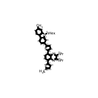 CCCCCCn1c2cc(C)ccc2c2ccc(-c3ccc(-c4ccc(-c5ccc(C)s5)c5nc(CCC)c(CCC)nc45)s3)cc21